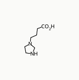 O=C(O)CCCN1CCNC1